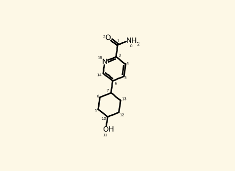 NC(=O)c1ccc(C2CCC(O)CC2)cn1